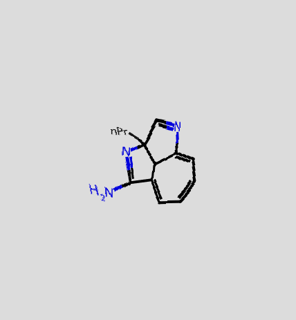 CCCC12C=NC3=CC=CC=C(C(N)=N1)C32